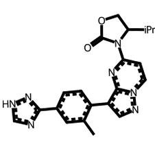 Cc1cc(-c2nc[nH]n2)ccc1-c1cnn2ccc(N3C(=O)OCC3C(C)C)nc12